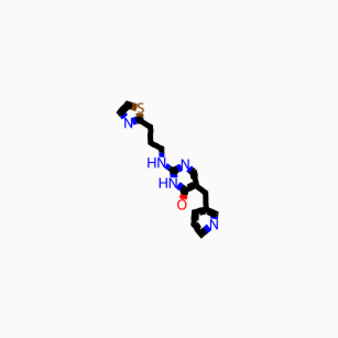 O=c1[nH]c(NCCCc2nccs2)ncc1Cc1cccnc1